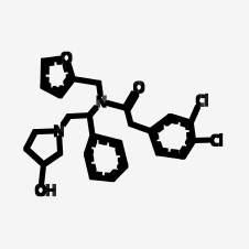 O=C(Cc1ccc(Cl)c(Cl)c1)N(Cc1ccco1)C(CN1CCC(O)C1)c1ccccc1